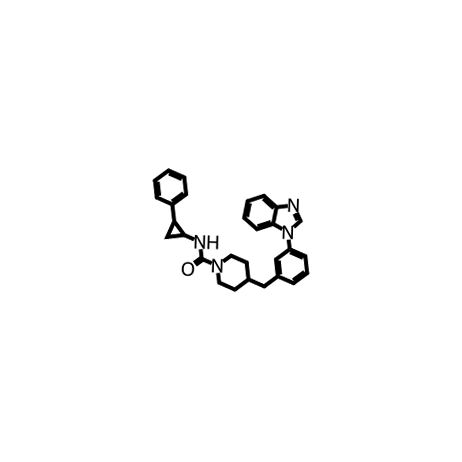 O=C(NC1CC1c1ccccc1)N1CCC(Cc2cccc(-n3cnc4ccccc43)c2)CC1